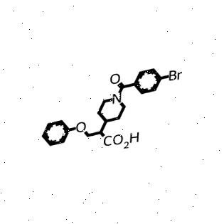 O=C(O)C(COc1ccccc1)C1CCN(C(=O)c2ccc(Br)cc2)CC1